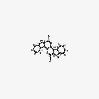 Ic1cc2c(cc(I)c3sc4ccccc4c32)c2c1sc1ccccc12